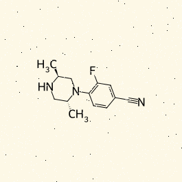 C[C@@H]1CN[C@@H](C)CN1c1ccc(C#N)cc1F